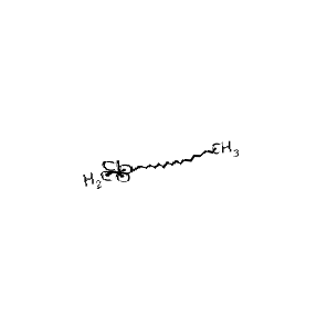 C=C(Cl)C(=O)OCCCCCCCCCCCCCCCCCC